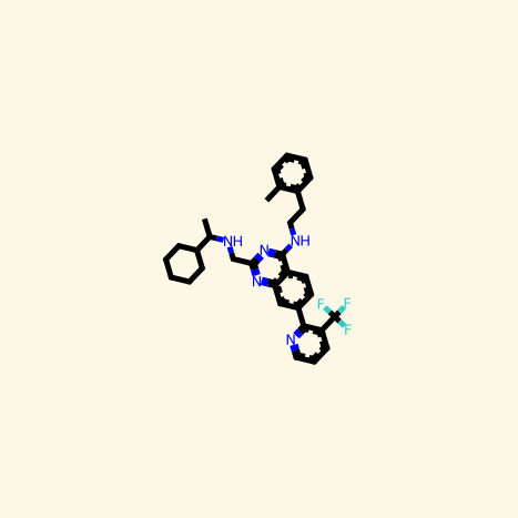 Cc1ccccc1CCNc1nc(CNC(C)C2CCCCC2)nc2cc(-c3ncccc3C(F)(F)F)ccc12